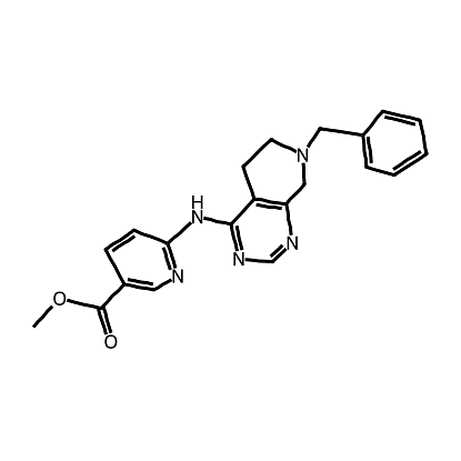 COC(=O)c1ccc(Nc2ncnc3c2CCN(Cc2ccccc2)C3)nc1